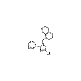 CCc1cn(Cc2cccc3ccccc23)c(-c2cccnc2)n1